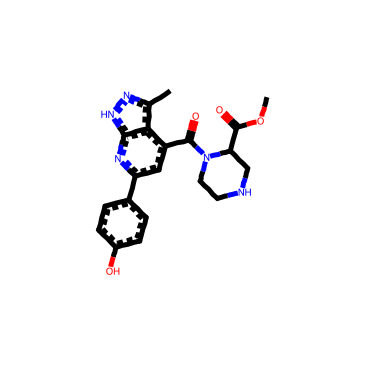 COC(=O)C1CNCCN1C(=O)c1cc(-c2ccc(O)cc2)nc2[nH]nc(C)c12